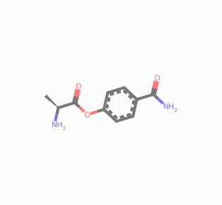 C[C@H](N)C(=O)Oc1ccc(C(N)=O)cc1